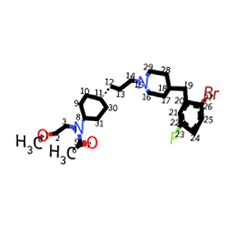 COCCN(C(C)=O)[C@H]1CC[C@H](CCCN2CCC(Cc3cc(F)ccc3Br)CC2)CC1